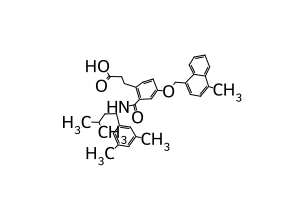 Cc1cc(C)cc(C(CC(C)C)NC(=O)c2cc(OCc3ccc(C)c4ccccc34)ccc2CCC(=O)O)c1